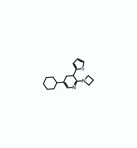 C1=C(C2CCCCC2)CC(c2cccs2)C(N2CCC2)=N1